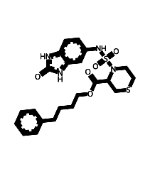 O=C(OCCCCc1ccccc1)C1CSCCN1S(=O)(=O)Nc1ccc2[nH]c(=O)[nH]c2c1